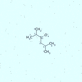 [CH2]C(C)[S+]([O-])CC(C)C